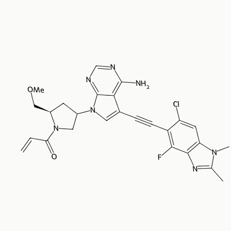 C=CC(=O)N1CC(n2cc(C#Cc3c(Cl)cc4c(nc(C)n4C)c3F)c3c(N)ncnc32)C[C@@H]1COC